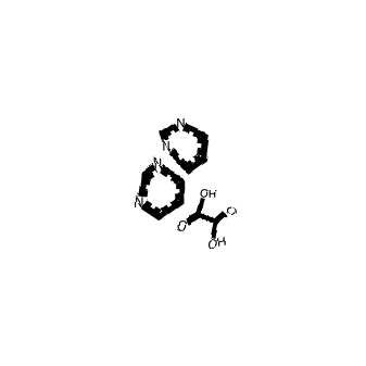 O=C(O)C(=O)O.c1cncnc1.c1cncnc1